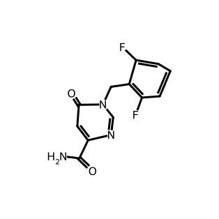 NC(=O)c1cc(=O)n(Cc2c(F)cccc2F)cn1